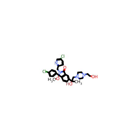 CO[C@]1(c2ccc(Cl)cc2)c2ccc(C(C)(O)CN3CCN(CCO)CC3)cc2C(=O)N1Cc1ccc(Cl)cn1